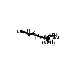 CCOCCOCCNC(=O)C#CC(=O)NCCOCCOCCC(=O)Nc1cc(C[C@H](C)CC(C)C(C)(C)C)ccc1O[Si](C)(C)C(C)(C)C